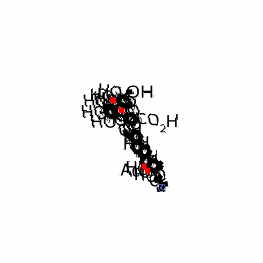 C/C=C(/C)C(=O)O[C@H]1[C@H](O)[C@]2(COC(C)=O)[C@H](O)C[C@]3(C)C(=CC[C@@H]4[C@@]5(C)CC[C@H](O[C@@H]6O[C@H](C(=O)O)[C@@H](O[C@@H]7O[C@H](CO)[C@@H](O)[C@H](O)[C@H]7O)[C@H](O)[C@H]6O[C@@H]6O[C@H](CO)[C@@H](O)[C@H](O)[C@H]6O)[C@](C)(CO)[C@@H]5CC[C@]43C)[C@@H]2CC1(C)C